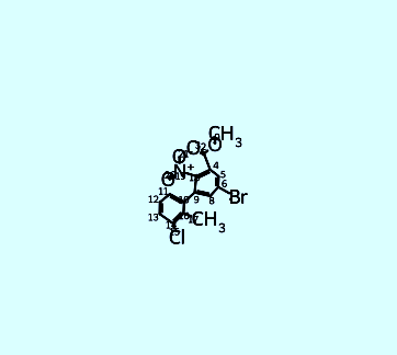 COC(=O)c1cc(Br)cc(-c2cccc(Cl)c2C)c1[N+](=O)[O-]